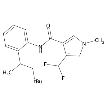 CC(CC(C)(C)C)c1ccccc1NC(=O)c1cn(C)cc1C(F)F